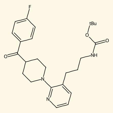 CC(C)(C)OC(=O)NCCCc1cccnc1N1CCC(C(=O)c2ccc(F)cc2)CC1